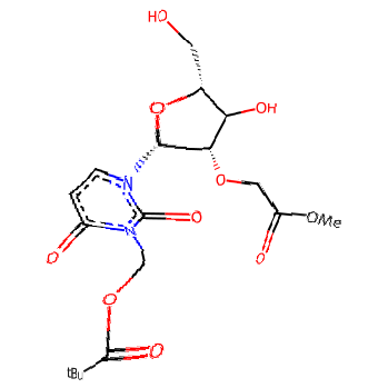 COC(=O)CO[C@H]1C(O)[C@@H](CO)O[C@H]1n1ccc(=O)n(COC(=O)C(C)(C)C)c1=O